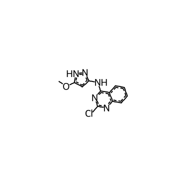 COc1cc(Nc2nc(Cl)nc3ccccc23)n[nH]1